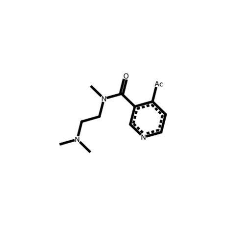 CC(=O)c1ccncc1C(=O)N(C)CCN(C)C